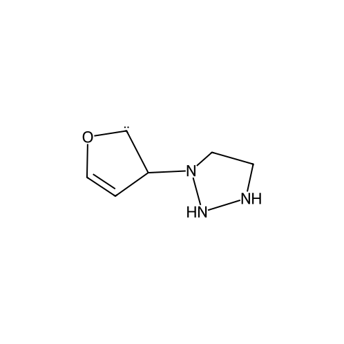 [C]1OC=CC1N1CCNN1